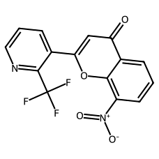 O=c1cc(-c2cccnc2C(F)(F)F)oc2c([N+](=O)[O-])cccc12